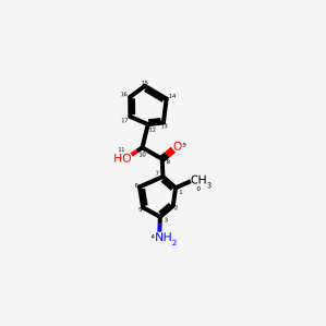 Cc1cc(N)ccc1C(=O)C(O)c1ccccc1